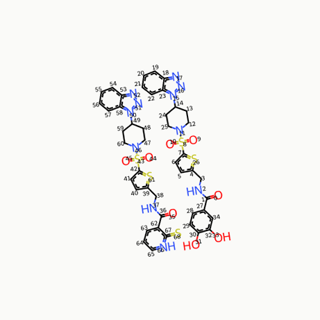 O=C(NCc1ccc(S(=O)(=O)N2CCC(n3nnc4ccccc43)CC2)s1)c1ccc(O)c(O)c1.O=C(NCc1ccc(S(=O)(=O)N2CCC(n3nnc4ccccc43)CC2)s1)c1ccc[nH]c1=S